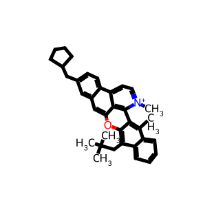 Cc1c2c(c(CC(C)(C)C)c3ccccc13)Oc1cc3cc(CC4CCCC4)ccc3c3cc[n+](C)c-2c13